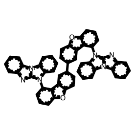 c1ccc2c(c1)nc1n(-c3cccc4oc5ccc(-c6ccc7oc8cccc(-n9c%10ccccc%10n%10c%11ccccc%11nc9%10)c8c7c6)cc5c34)c3ccccc3n21